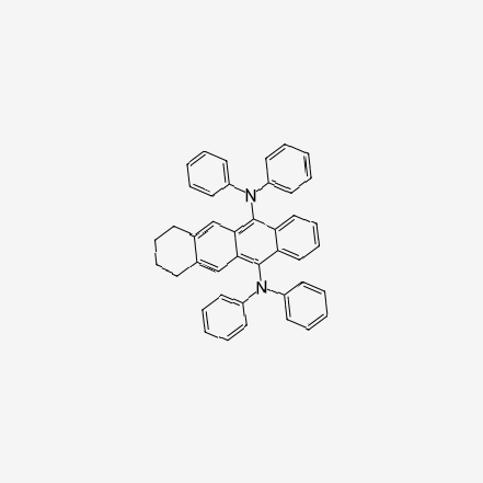 c1ccc(N(c2ccccc2)c2c3ccccc3c(N(c3ccccc3)c3ccccc3)c3cc4c(cc23)CCCC4)cc1